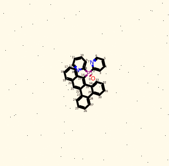 O=P(c1ccccn1)(c1ccccn1)c1c2ccccc2cc2c3ccccc3c3ccccc3c12